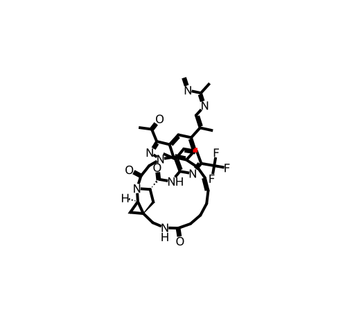 C=N/C(C)=N\C=C(/C)c1cc2c3c(c1)c(C(C)=O)nn3CC(=O)N1[C@H](C(=O)Nc3nc(C(F)(F)F)ccc3C)C[C@@]3(CNC(=O)CCC/C=C\C2)C[C@@H]13